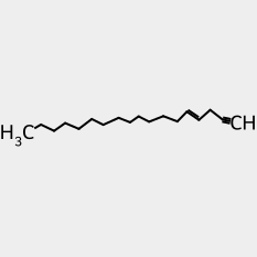 C#CC/C=C/CCCCCCCCCCCCC